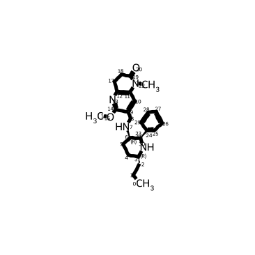 CCC[C@@H]1CC[C@@H](NCc2cc3c(nc2OC)CCC(=O)N3C)[C@@H](c2ccccc2)N1